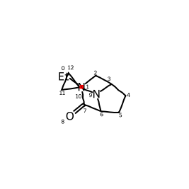 CCN1CC2CCC(C1=O)N2C1CC1